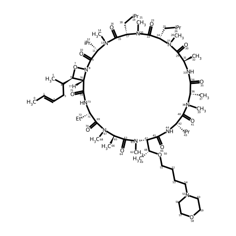 C/C=C/CC(C)[C@H]1ON2C(=O)[C@H](C(C)C)N(C)C(=O)[C@H](CC(C)C)N(C)C(=O)[C@H](CC(C)C)N(C)C(=O)[C@@H](C)NC(=O)[C@H](C)N(C)C(=O)[C@H](C(C)C)NC(=O)[C@H]([C@@H](C)OCCCCN3CCOCC3)N(C)C(=O)[C@@H](C)N(C)C(=O)[C@H](CC)NC(=O)[C@H]12